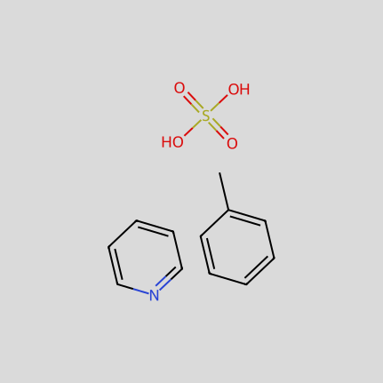 Cc1ccccc1.O=S(=O)(O)O.c1ccncc1